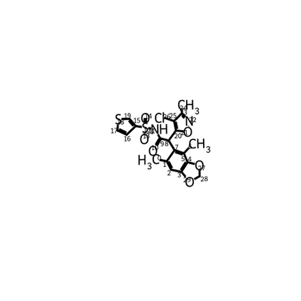 Cc1cc2c(c(C)c1C(C(=O)NS(=O)(=O)c1ccsc1)c1onc(C)c1Cl)OCO2